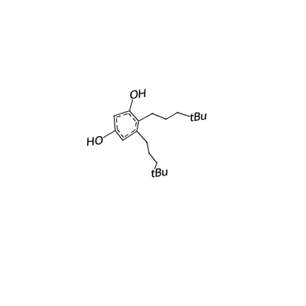 CC(C)(C)CCCc1cc(O)cc(O)c1CCCC(C)(C)C